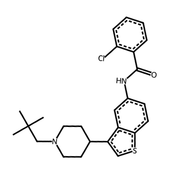 CC(C)(C)CN1CCC(c2csc3ccc(NC(=O)c4ccccc4Cl)cc23)CC1